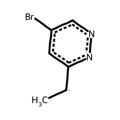 C[CH]c1cc(Br)cnn1